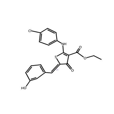 CCOC(=O)C1=C(Nc2ccc(Cl)cc2)S/C(=C\c2cccc(O)c2)C1=O